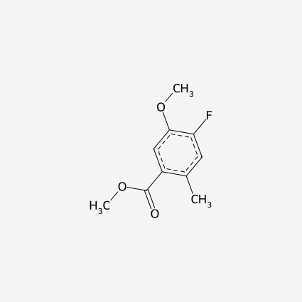 COC(=O)c1cc(OC)c(F)cc1C